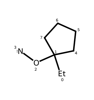 CCC1(O[N])CCCC1